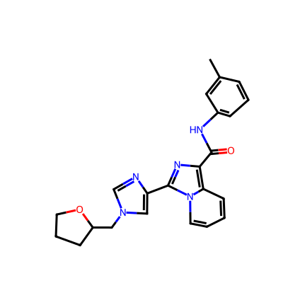 Cc1cccc(NC(=O)c2nc(-c3cn(CC4CCCO4)cn3)n3ccccc23)c1